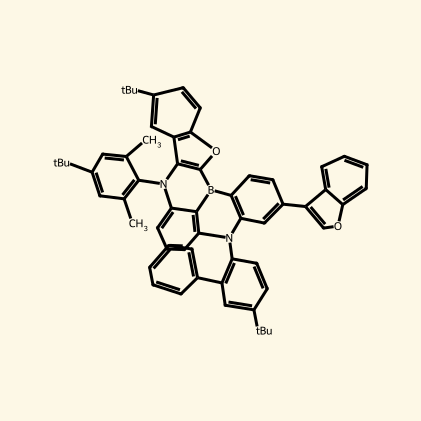 Cc1cc(C(C)(C)C)cc(C)c1N1c2cccc3c2B(c2ccc(-c4coc5ccccc45)cc2N3c2ccc(C(C)(C)C)cc2-c2ccccc2)c2oc3ccc(C(C)(C)C)cc3c21